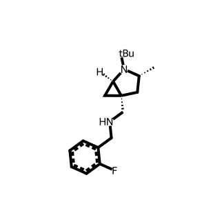 C[C@@H]1C[C@@]2(CNCc3ccccc3F)C[C@H]2N1C(C)(C)C